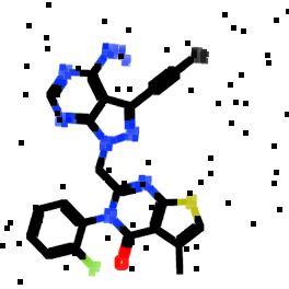 CCC#Cc1nn(Cc2nc3scc(C)c3c(=O)n2-c2ccccc2F)c2ncnc(N)c12